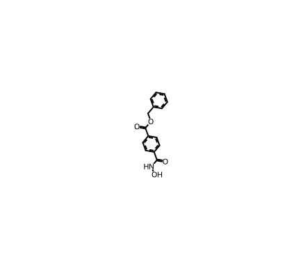 O=C(NO)c1ccc(C(=O)OCc2ccccc2)cc1